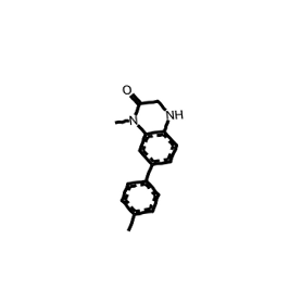 Cc1ccc(-c2ccc3c(c2)N(C)C(=O)CN3)cc1